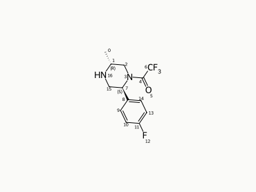 C[C@@H]1CN(C(=O)C(F)(F)F)[C@@H](c2ccc(F)cc2)CN1